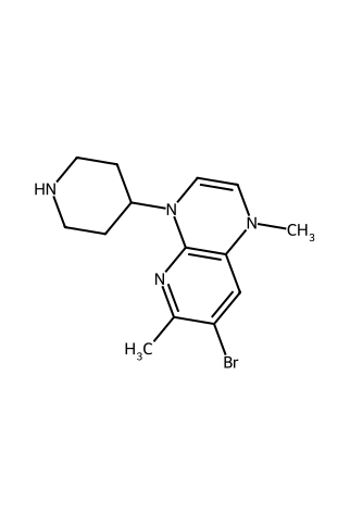 Cc1nc2c(cc1Br)N(C)C=CN2C1CCNCC1